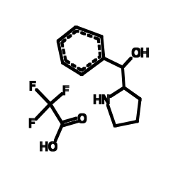 O=C(O)C(F)(F)F.OC(c1ccccc1)C1CCCN1